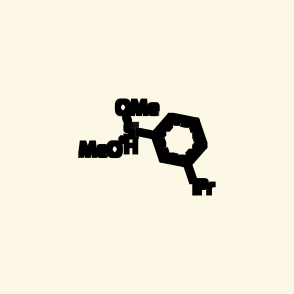 CO[SiH](OC)c1cccc(C(C)C)c1